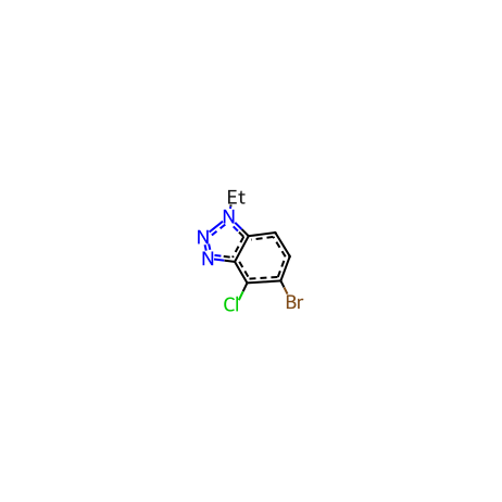 CCn1nnc2c(Cl)c(Br)ccc21